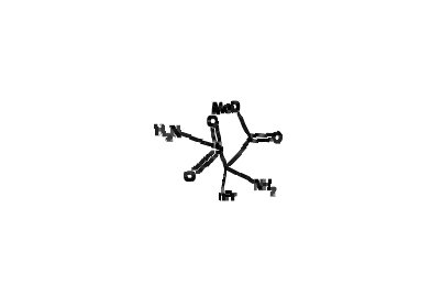 CCCC(N)(C(=O)OC)S(N)(=O)=O